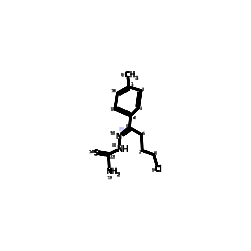 Cc1ccc(/C(CCCCl)=N/NC(N)=S)cc1